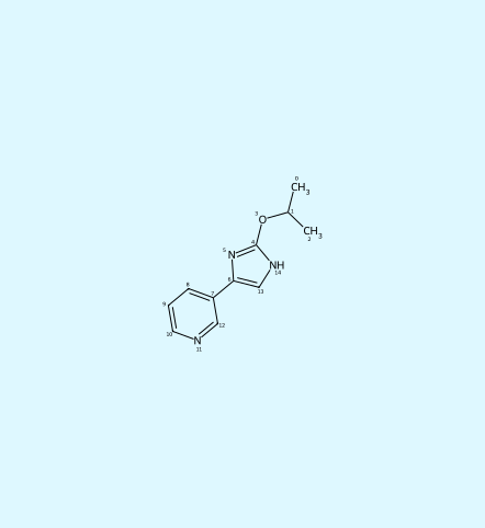 CC(C)Oc1nc(-c2cccnc2)c[nH]1